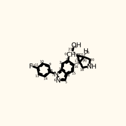 Cc1cc2c(cnn2-c2ccc(F)cc2)cc1[C@@]12CNC[C@@H]1[C@H]2CO